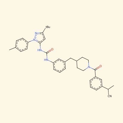 Cc1ccc(-n2nc(C(C)(C)C)cc2NC(=O)Nc2cccc(CC3CCN(C(=O)c4cccc(C(C)C#N)c4)CC3)c2)cc1